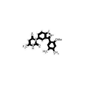 COc1cc(C)c(C)cc1-c1nsc2ccc(-n3c(=O)cc(C(F)(F)F)[nH]c3=O)cc12